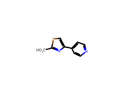 O=C(O)c1nc(-c2ccncc2)cs1